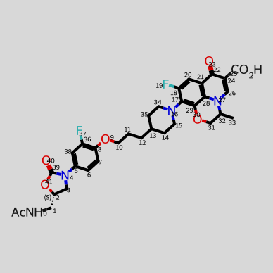 CC(=O)NC[C@H]1CN(c2ccc(OCCCC3CCN(c4c(F)cc5c(=O)c(C(=O)O)cn6c5c4OCC6C)CC3)c(F)c2)C(=O)O1